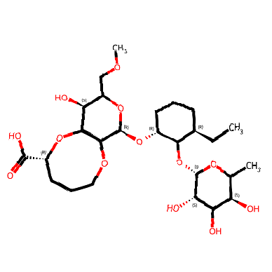 CC[C@@H]1CCC[C@@H](O[C@@H]2OC(COC)[C@H](O)C3O[C@@H](C(=O)O)CCCOC32)C1O[C@@H]1OC(C)[C@@H](O)C(O)[C@@H]1O